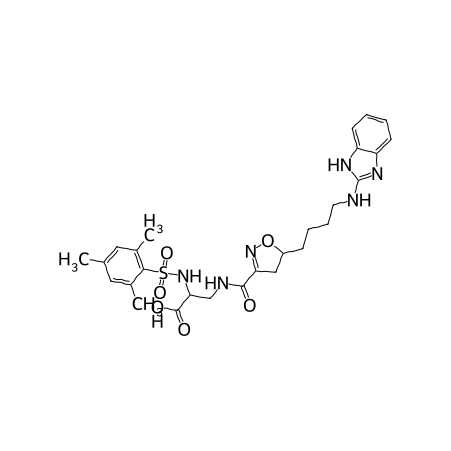 Cc1cc(C)c(S(=O)(=O)NC(CNC(=O)C2=NOC(CCCCNc3nc4ccccc4[nH]3)C2)C(=O)O)c(C)c1